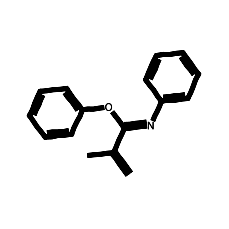 C=C(C)C(=Nc1ccccc1)Oc1ccccc1